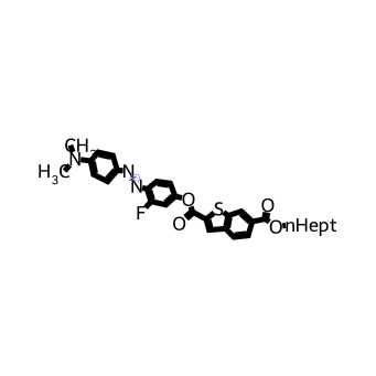 CCCCCCCOC(=O)c1ccc2cc(C(=O)Oc3ccc(/N=N/c4ccc(N(C)C)cc4)c(F)c3)sc2c1